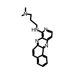 CN(C)CCCNc1nccc2nc3c(ccc4ccccc43)nc12